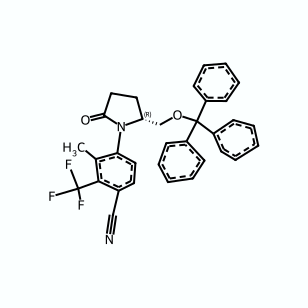 Cc1c(N2C(=O)CC[C@@H]2COC(c2ccccc2)(c2ccccc2)c2ccccc2)ccc(C#N)c1C(F)(F)F